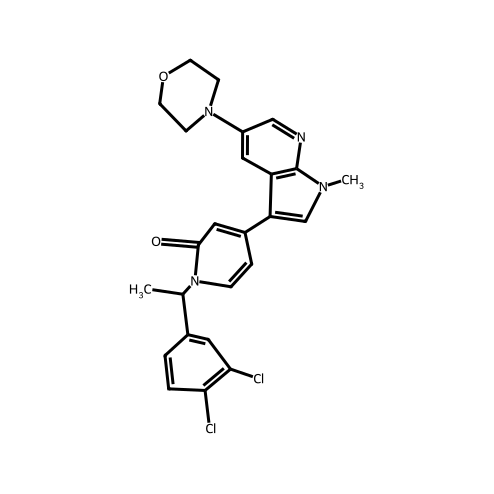 CC(c1ccc(Cl)c(Cl)c1)n1ccc(-c2cn(C)c3ncc(N4CCOCC4)cc23)cc1=O